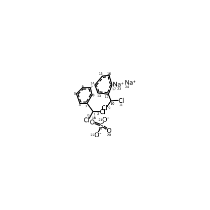 ClC(Cl)c1ccccc1.ClC(Cl)c1ccccc1.O=S(=O)([O-])[O-].[Na+].[Na+]